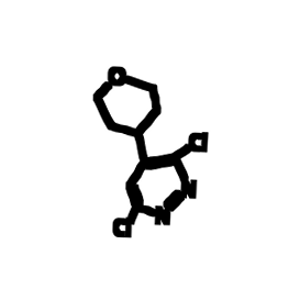 Clc1cc(C2CCOCC2)c(Cl)nn1